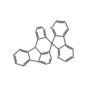 c1cnc2c(c1)-c1cccnc1C21c2ccccc2-n2c3ccccc3c3cccc1c32